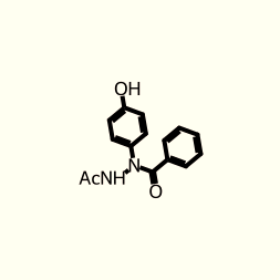 CC(=O)NN(C(=O)c1ccccc1)c1ccc(O)cc1